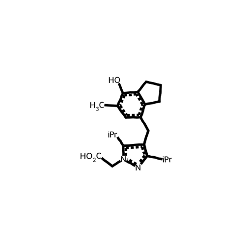 Cc1cc(Cc2c(C(C)C)nn(CC(=O)O)c2C(C)C)c2c(c1O)CCC2